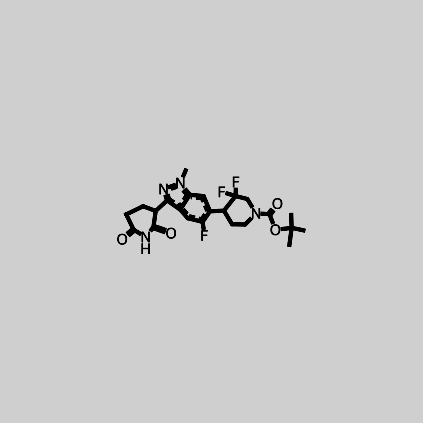 Cn1nc(C2CCC(=O)NC2=O)c2cc(F)c(C3CCN(C(=O)OC(C)(C)C)CC3(F)F)cc21